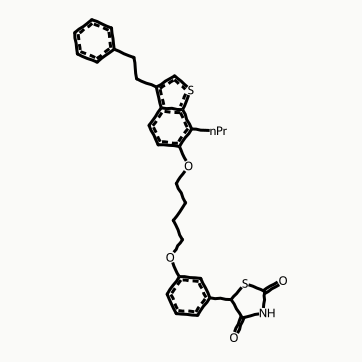 CCCc1c(OCCCCOc2cccc(C3SC(=O)NC3=O)c2)ccc2c(CCc3ccccc3)csc12